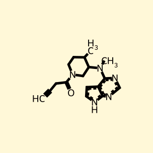 C#CCC(=O)N1CCC(C)C(N(C)c2ncnc3[nH]ccc23)C1